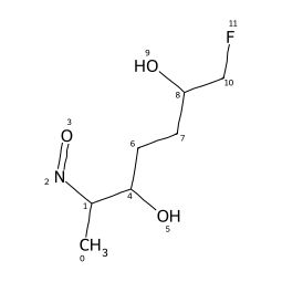 CC(N=O)C(O)CCC(O)CF